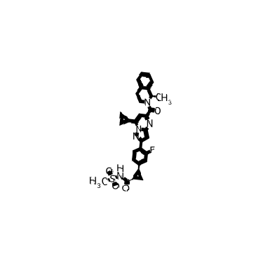 C[C@@H]1c2ccccc2CCN1C(=O)c1cc(C2CC2)n2nc(-c3ccc([C@H]4C[C@@H]4C(=O)NS(C)(=O)=O)cc3F)cc2n1